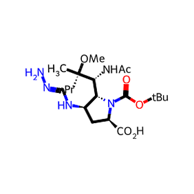 CCC[C@](C)(OC)[C@H](NC(C)=O)[C@H]1[C@H](NC=NN)C[C@H](C(=O)O)N1C(=O)OC(C)(C)C